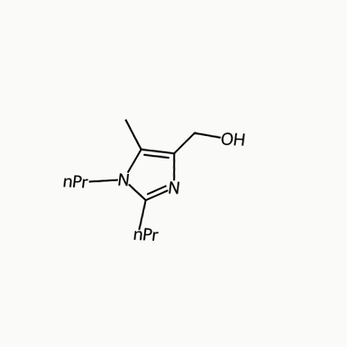 CCCc1nc(CO)c(C)n1CCC